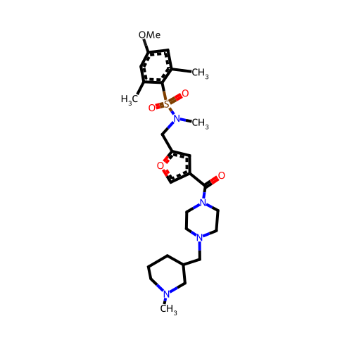 COc1cc(C)c(S(=O)(=O)N(C)Cc2cc(C(=O)N3CCN(CC4CCCN(C)C4)CC3)co2)c(C)c1